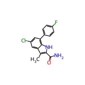 Cc1c(C(N)=O)[nH]c2c(-c3ccc(F)cc3)cc(Cl)cc12